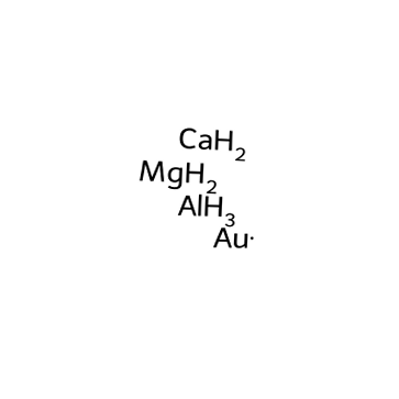 [AlH3].[Au].[CaH2].[MgH2]